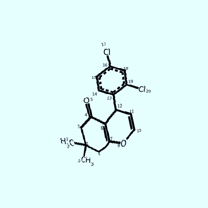 CC1(C)CC(=O)C2=C(C1)OC=CC2c1ccc(Cl)cc1Cl